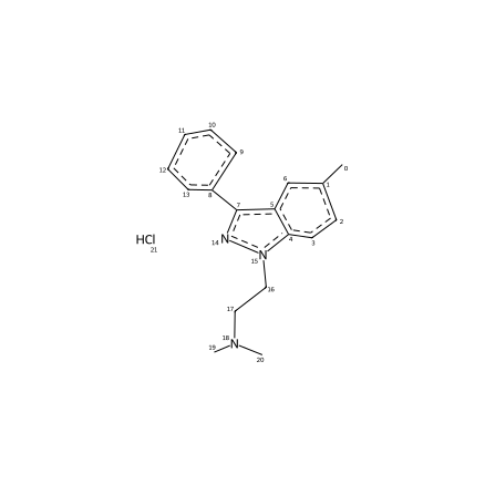 Cc1ccc2c(c1)c(-c1ccccc1)nn2CCN(C)C.Cl